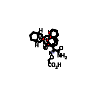 NC(=O)/C(=N\OCC(=O)O)c1nc2ccccc2n([C@H]2C[C@H]3CCC[C@@H](C2)N3[C@@H]2C[C@@H]3CCCC[C@@H](C3)C2)c1=O